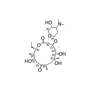 CC[C@H]1OC(=O)[C@H](C)[C@@H](O[C@H]2CC(N(C)C)C(O)[C@@H](C)O2)[C@H](C)[C@@H](O)[C@](C)(O)C[C@@H](C)C(=O)[C@H](C)[C@@H](O)[C@H]1C